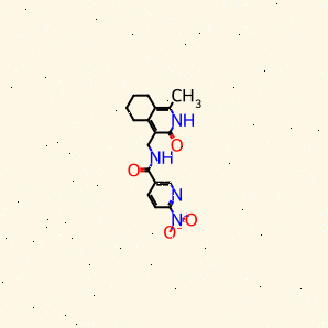 Cc1[nH]c(=O)c(CNC(=O)c2ccc([N+](=O)[O-])nc2)c2c1CCCC2